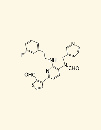 O=Cc1sccc1-c1ccc(N(C=O)Cc2cccnc2)c(NCCc2cccc(F)c2)n1